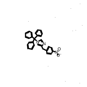 O=[N+]([O-])c1ccc(Cc2cn(C(c3ccccc3)(c3ccccc3)c3ccccc3)cn2)cc1